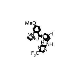 COc1ccc(C(=O)N2C[C@@H]3C[C@@H](Nc4cnc(C(F)(F)F)cn4)[C@@H]2C3)c(-n2nccn2)c1